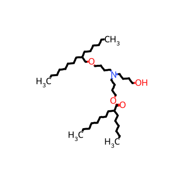 CCCCCCCCC(CCCCCC)COCCCCN(CCCCO)CCCCOC(=O)C(CCCCCC)CCCCCCCC